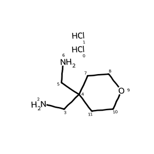 Cl.Cl.NCC1(CN)CCOCC1